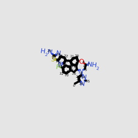 Cc1cc(N2CC(N)Oc3ccc(-c4cnc5sc(N)nc5c4)cc3C2Cc2ccc(F)cc2)ncn1